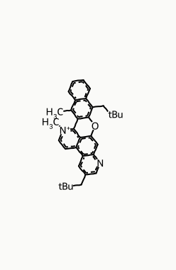 Cc1c2c(c(CC(C)(C)C)c3ccccc13)Oc1cc3ncc(CC(C)(C)C)cc3c3cc[n+](C)c-2c13